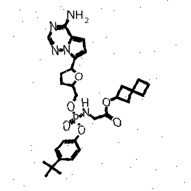 CC(C)(C)c1ccc(OP(=O)(NCC(=O)OC2CC3(CCC3)C2)OCC2CCC(c3ccc4c(N)ncnn34)O2)cc1